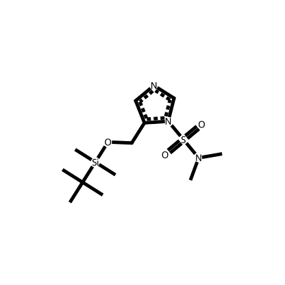 CN(C)S(=O)(=O)n1cncc1CO[Si](C)(C)C(C)(C)C